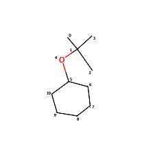 CC(C)(C)OC1C[CH]CCC1